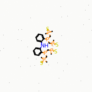 CP(C)(=S)CP(CP(C)(C)=S)c1ccccc1Nc1ccccc1P(CP(C)(C)=S)CP(C)(C)=S